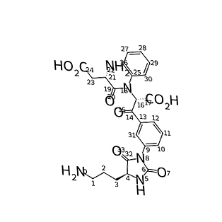 NCCC[C@@H]1NC(=O)N(c2cccc(C(=O)[C@@H](C(=O)O)N(C(=O)[C@@H](N)CC(=O)O)c3ccccc3)c2)C1=O